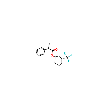 CC(C(=O)O[C@@H]1CCC[C@@H](C(F)(F)F)C1)c1ccccc1